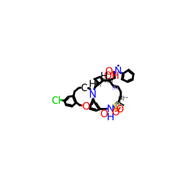 C[C@@H]1[C@@H](C)C/C=C/[C@@](O)(CC(=O)N(C)c2ccccc2)[C@@H]2CC[C@H]2CN2CCCCc3cc(Cl)ccc3COc3ccc(cc32)C(=O)NS1(=O)=O